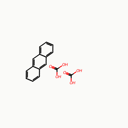 O=C(O)O.O=C(O)O.c1ccc2cc3ccccc3cc2c1